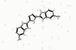 CC(C)c1ccc2oc(-c3ccc(-c4nc5cc(C(C)C)ccc5o4)s3)nc2c1